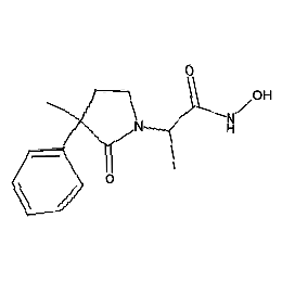 CC(C(=O)NO)N1CCC(C)(c2ccccc2)C1=O